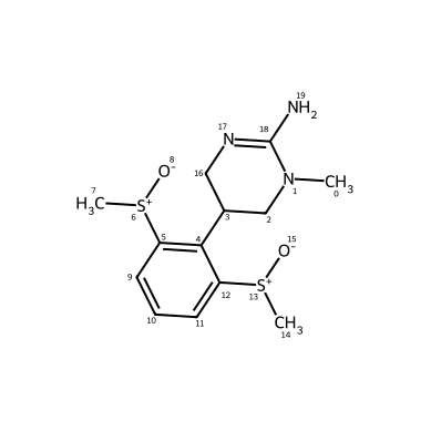 CN1CC(c2c([S+](C)[O-])cccc2[S+](C)[O-])CN=C1N